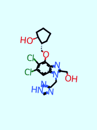 OCc1nc2c(OC[C@H]3CCCC[C@@H]3O)c(Cl)c(Cl)cc2n1Cc1nc[nH]n1